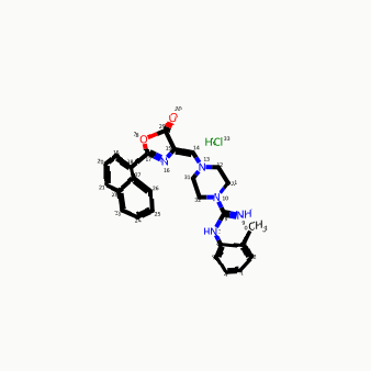 Cc1ccccc1NC(=N)N1CCN(C=C2N=C(c3cccc4ccccc34)OC2=O)CC1.Cl